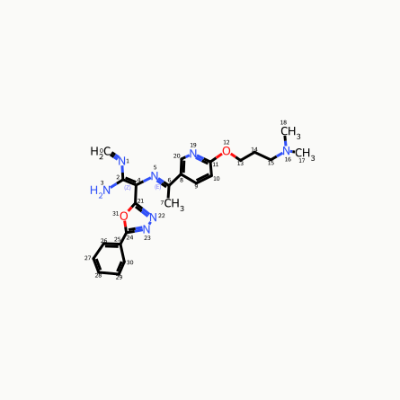 C=N/C(N)=C(\N=C(/C)c1ccc(OCCCN(C)C)nc1)c1nnc(-c2ccccc2)o1